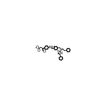 COC(=O)Cc1coc2cc(NCc3ccc(CN(CCc4ccccc4)c4nc(-c5ccccc5)cs4)cc3)ccc12